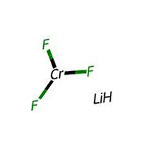 [F][Cr]([F])[F].[LiH]